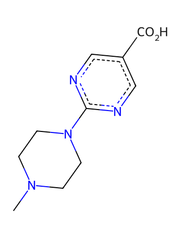 CN1CCN(c2ncc(C(=O)O)cn2)CC1